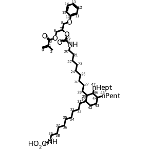 C=C(C)C(=O)OCC(COc1ccccc1)OC(=O)NCCCCCCCCCC1C(CCCCCCCCCNC(=O)O)CCC(CCCCC)C1CCCCCCC